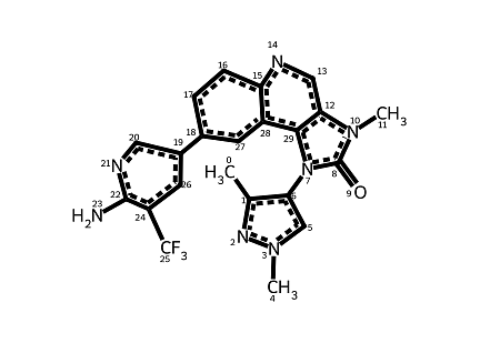 Cc1nn(C)cc1-n1c(=O)n(C)c2cnc3ccc(-c4cnc(N)c(C(F)(F)F)c4)cc3c21